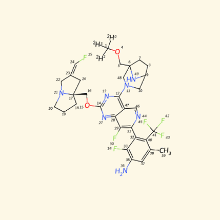 [2H]C([2H])([2H])OCC12CCC(CN(c3nc(OC[C@@]45CCCN4C/C(=C/F)C5)nc4c(F)c(-c5c(F)c(N)cc(C)c5C(F)(F)F)ncc34)C1)N2